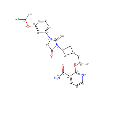 C[C@@H](CC1CC(N2C(=O)CN(c3cccc(OC(F)F)c3)C2=O)C1)Oc1ncccc1C(N)=O